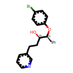 CC(C)[C@H](Oc1ccc(Br)cc1)[C@H](O)CCc1cccnc1